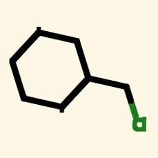 ClCC1[CH]CC[CH]C1